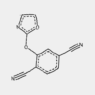 N#Cc1ccc(C#N)c(Oc2n[c]co2)c1